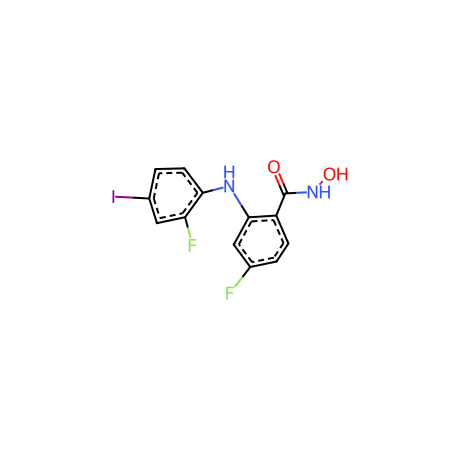 O=C(NO)c1ccc(F)cc1Nc1ccc(I)cc1F